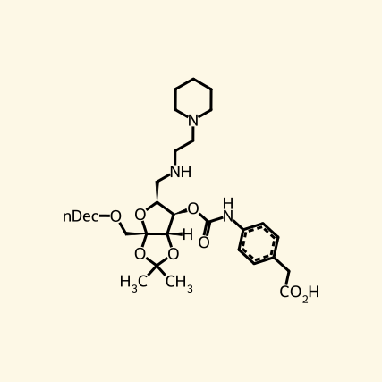 CCCCCCCCCCOC[C@@]12O[C@@H](CNCCN3CCCCC3)[C@@H](OC(=O)Nc3ccc(CC(=O)O)cc3)[C@@H]1OC(C)(C)O2